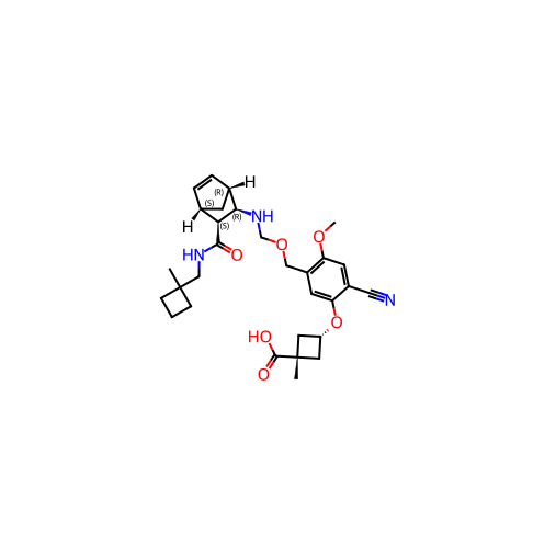 COc1cc(C#N)c(O[C@H]2C[C@@](C)(C(=O)O)C2)cc1COCN[C@H]1[C@@H](C(=O)NCC2(C)CCC2)[C@@H]2C=C[C@H]1C2